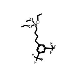 CCO[Si](CCCCc1cc(C(F)(F)F)cc(C(F)(F)F)c1)(OC)OCC